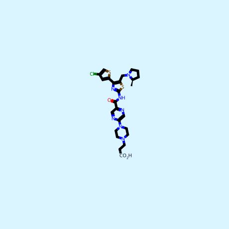 C[C@@H]1CCCN1Cc1sc(NC(=O)c2cnc(N3CCN(CCC(=O)O)CC3)cn2)nc1-c1cc(Cl)cs1